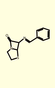 O=C1C(N=Cc2ccccc2)C2SCCN12